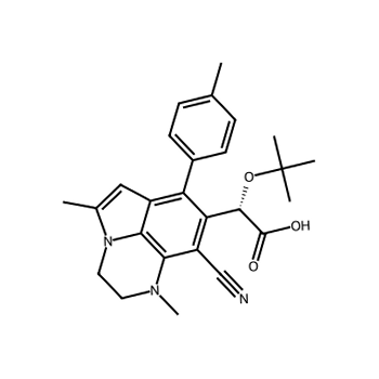 Cc1ccc(-c2c([C@H](OC(C)(C)C)C(=O)O)c(C#N)c3c4c2cc(C)n4CCN3C)cc1